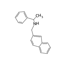 CC(NCc1ccc2ccccc2c1)c1ccccc1